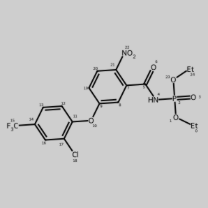 CCOP(=O)(NC(=O)c1cc(Oc2ccc(C(F)(F)F)cc2Cl)ccc1[N+](=O)[O-])OCC